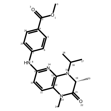 COC(=O)c1ccc(Nc2ccc3c(n2)N(C(C)C)[C@H](C)C(=O)N3C)cc1